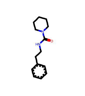 O=C(NCCc1ccccc1)N1CCCCC1